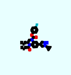 CC(=O)N1c2ccc(C3CNN(C4CC4)C3)cc2N(C(=O)Oc2ccc(F)cc2)C[C@@H]1C